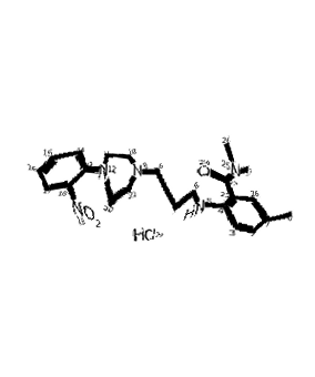 Cc1ccc(NCCCN2CCN(c3ccccc3[N+](=O)[O-])CC2)c(C(=O)N(C)C)c1.Cl